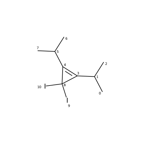 CC(C)C1=C(C(C)C)C1(I)I